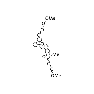 COCCOCCOCCOC(=O)c1cc2c3c(ccc2cc1OC)OC(c1ccccc1)(c1ccc(OCCOCCOCCOC)cc1)C=C3